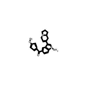 CCOc1ccc(C(=O)c2ccc3c(c2)c(C2=CCN4CCCC4C2)cn3N)cc1